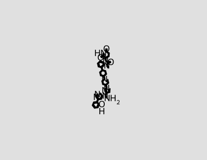 Cn1c(=O)n(C2CCC(=O)NC2=O)c2cccc(C3CCC(N4CCC(n5ccc(N(N)c6cnnc(-c7ccccc7O)c6)n5)CC4)CC3)c21